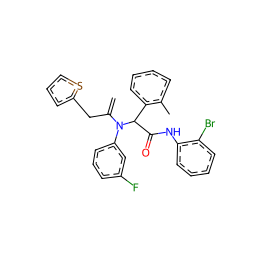 C=C(Cc1cccs1)N(c1cccc(F)c1)C(C(=O)Nc1ccccc1Br)c1ccccc1C